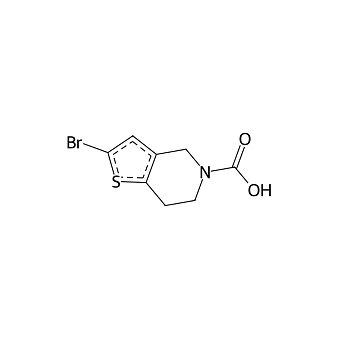 O=C(O)N1CCc2sc(Br)cc2C1